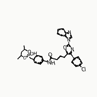 CC1CC(C)O[P](O)(Cc2ccc(NC(=O)CCCc3oc(-n4cnc5ccccc54)nc3-c3ccc(Cl)cc3)cc2)O1